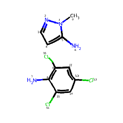 Cn1nccc1N.Nc1c(Cl)cc(Cl)cc1Cl